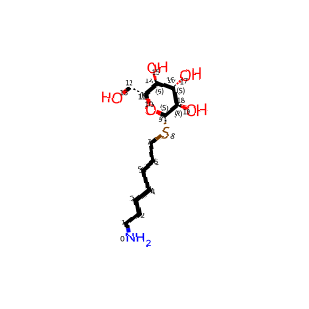 NCCCCCCCS[C@@H]1O[C@H](CO)[C@@H](O)[C@H](O)[C@H]1O